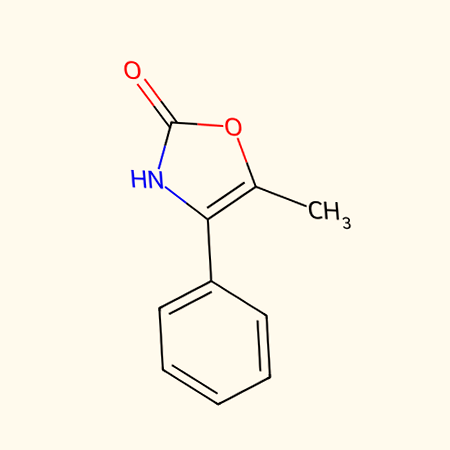 Cc1oc(=O)[nH]c1-c1ccccc1